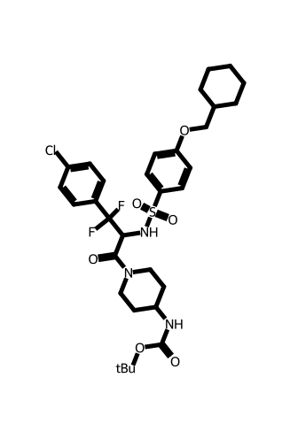 CC(C)(C)OC(=O)NC1CCN(C(=O)C(NS(=O)(=O)c2ccc(OCC3CCCCC3)cc2)C(F)(F)c2ccc(Cl)cc2)CC1